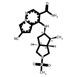 C[C@H]1[C@@H]2CN(S(C)(=O)=O)C[C@H]2C[C@H]1Nc1c(C(N)=O)cnn2cc(C#N)cc12